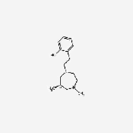 C[C@@H]1CN(C)CCN(CCc2ccccc2O)C1